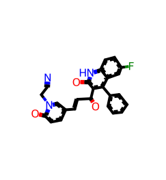 N#CCn1cc(/C=C/C(=O)c2c(-c3ccccc3)c3cc(F)ccc3[nH]c2=O)ccc1=O